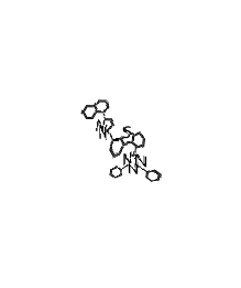 c1ccc(-c2nc(-c3ccccc3)nc(-c3cccc4sc5c(-c6ccc(-c7cccc8ccccc78)nn6)cccc5c34)n2)cc1